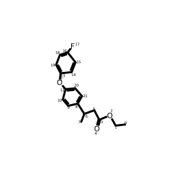 CCOC(=O)CC(C)c1ccc(Oc2ccc(F)cc2)cc1